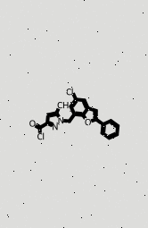 Cc1cc(C(=O)Cl)nn1Cc1cc(Cl)cc2cc(-c3ccccc3)oc12